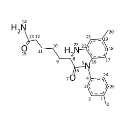 Cc1ccc(N(C(=O)CCCCCC(N)=O)c2ccc(C)cc2N)cc1